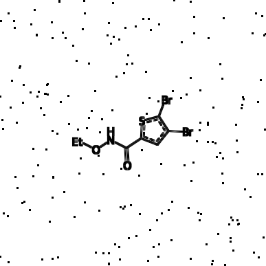 CCONC(=O)c1cc(Br)c(Br)s1